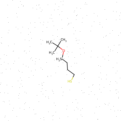 CC(C)(C)O[SiH2]CCCS